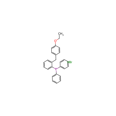 Br.CCOc1ccc(Cc2ccccc2P(c2ccccc2)c2ccccc2)cc1